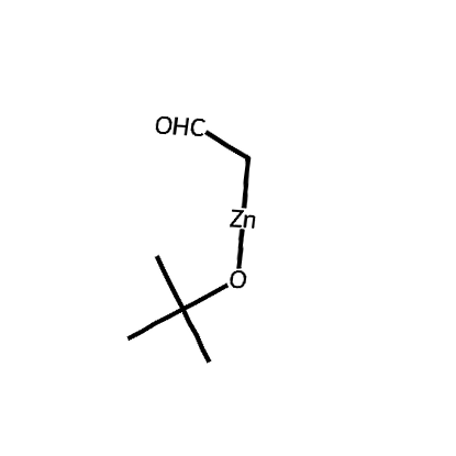 CC(C)(C)[O][Zn][CH2]C=O